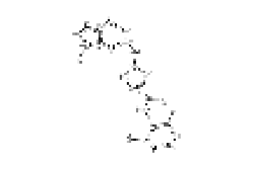 Cc1cccc(Cl)c1NC(=O)c1cnc(Nc2ccc3ncn(C)c3c2)s1